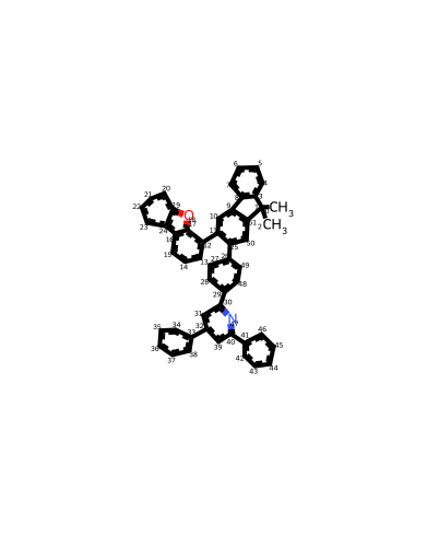 CC1(C)c2ccccc2-c2cc(-c3cccc4c3oc3ccccc34)c(-c3ccc(-c4cc(-c5ccccc5)cc(-c5ccccc5)n4)cc3)cc21